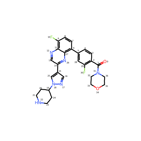 O=C(c1ccc(-c2ccc(F)c3ncc(-c4cnn(C5CCNCC5)c4)nc23)cc1F)N1CCOCC1